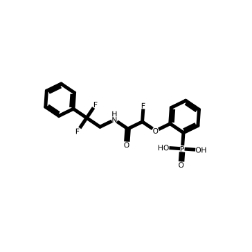 O=C(NCC(F)(F)c1ccccc1)C(F)Oc1ccccc1P(=O)(O)O